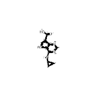 O=C(O)c1c[nH]c2c(NC3CC3)ncnc12